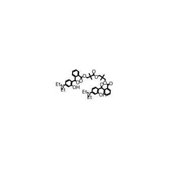 CCN(CC)c1ccc(C(=O)c2ccccc2C(=O)OCC(C)(C)COC(=O)C(C)(C)COC(=O)c2ccccc2C(=O)c2ccc(N(CC)CC)cc2O)c(O)c1